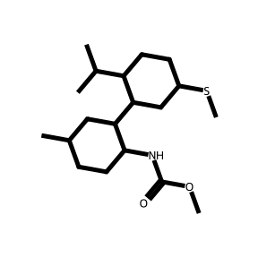 COC(=O)NC1CCC(C)CC1C1CC(SC)CCC1C(C)C